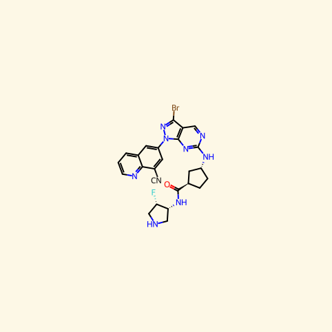 N#Cc1cc(-n2nc(Br)c3cnc(N[C@@H]4CC[C@@H](C(=O)N[C@@H]5CNC[C@@H]5F)C4)nc32)cc2cccnc12